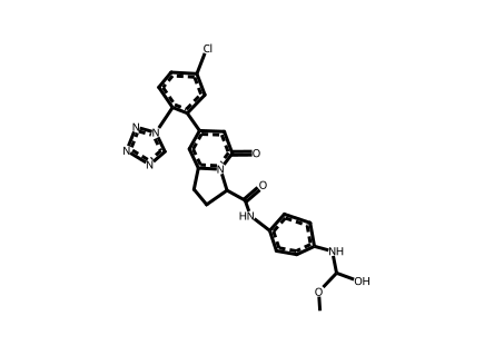 COC(O)Nc1ccc(NC(=O)C2CCc3cc(-c4cc(Cl)ccc4-n4cnnn4)cc(=O)n32)cc1